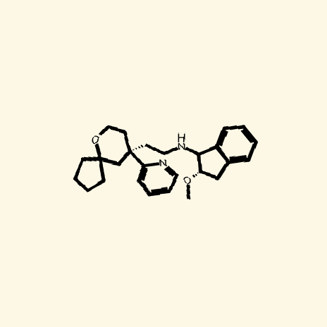 CO[C@H]1Cc2ccccc2C1NCC[C@@]1(c2ccccn2)CCOC2(CCCC2)C1